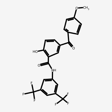 COc1ccc(C(=O)c2ccc(O)c(C(=O)Nc3cc(C(F)(F)F)cc(C(F)(F)F)c3)c2)cc1